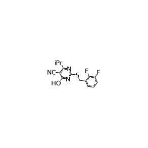 CC(C)c1nc(SCc2cccc(F)c2F)nc(O)c1C#N